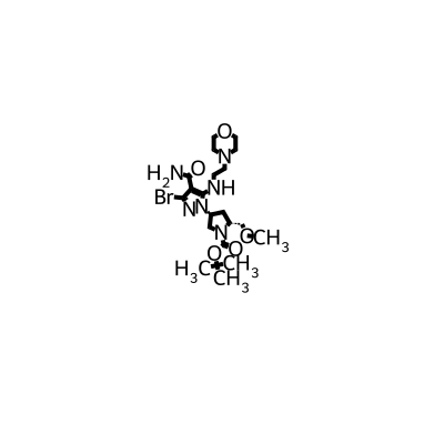 COC[C@H]1C[C@H](n2nc(Br)c(C(N)=O)c2NCCN2CCOCC2)CN1C(=O)OC(C)(C)C